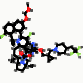 C#Cc1c(F)ccc2cc(OCOC)cc(-c3nc4c5c(nc(OCC6(CN7CCC(CC(F)(F)F)CC7)CC6)nc5c3F)N3C[C@H]5CC[C@@H]([C@H]3CC4)N5C(=O)OC(C)(C)C)c12